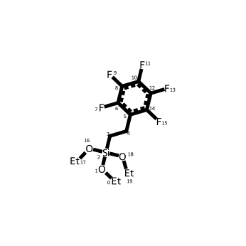 CCO[Si](CCc1c(F)c(F)c(F)c(F)c1F)(OCC)OCC